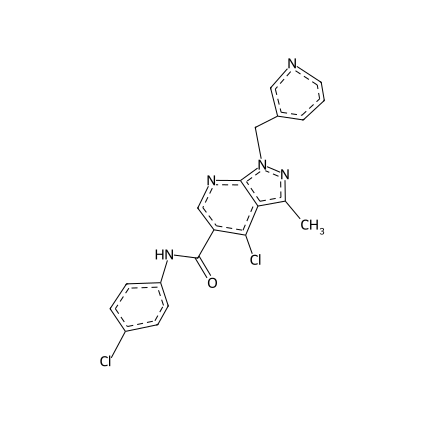 Cc1nn(Cc2cccnc2)c2ncc(C(=O)Nc3ccc(Cl)cc3)c(Cl)c12